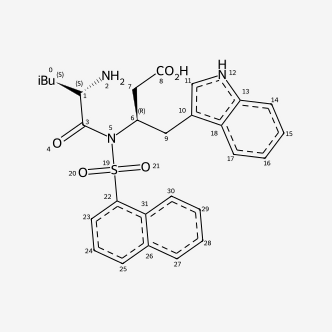 CC[C@H](C)[C@H](N)C(=O)N([C@@H](CC(=O)O)Cc1c[nH]c2ccccc12)S(=O)(=O)c1cccc2ccccc12